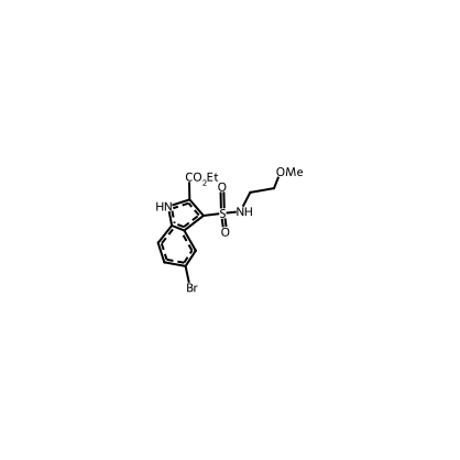 CCOC(=O)c1[nH]c2ccc(Br)cc2c1S(=O)(=O)NCCOC